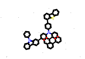 c1ccc(-c2cccc3cccc(-c4ccccc4N(c4ccc(-c5ccc6c7ccccc7n(-c7ccccc7)c6c5)cc4)c4ccc(-c5cccc6c5sc5ccccc56)cc4)c23)cc1